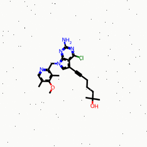 COc1c(C)cnc(Cn2cc(C#CCCCC(C)(C)O)c3c(Cl)nc(N)nc32)c1C